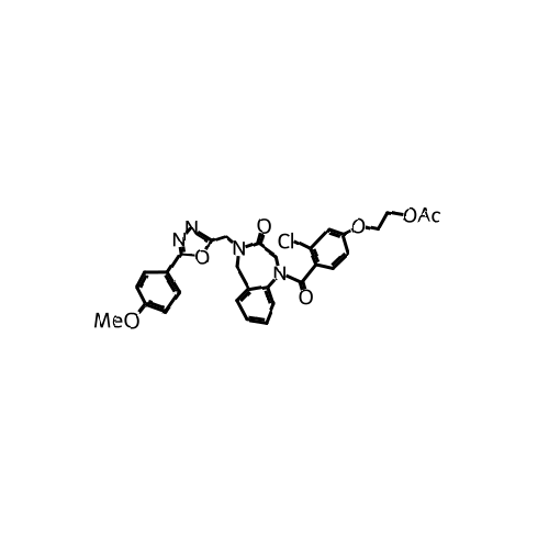 COc1ccc(-c2nnc(CN3Cc4ccccc4N(C(=O)c4ccc(OCCOC(C)=O)cc4Cl)CC3=O)o2)cc1